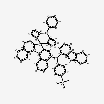 C[Si](C)(C)c1ccc(N(c2cc3c(c4ccccc24)-c2c(ccc4ccccc24)C32c3ccccc3N(c3ccccc3)c3ccccc32)c2cccc3c2oc2ccccc23)cc1